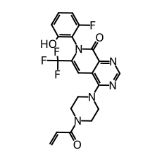 C=CC(=O)N1CCN(c2ncnc3c(=O)n(-c4c(O)cccc4F)c(C(F)(F)F)cc23)CC1